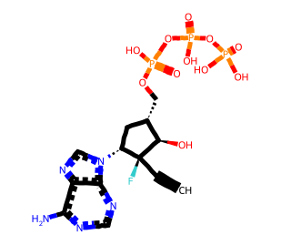 C#C[C@@]1(F)[C@H](O)[C@@H](COP(=O)(O)OP(=O)(O)OP(=O)(O)O)C[C@H]1n1cnc2c(N)ncnc21